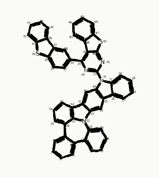 c1ccc2c(c1)-c1ccccc1-n1c3cc4c5ccccc5n(-c5nc(-c6ccc7sc8ccccc8c7c6)c6c(n5)sc5ccccc56)c4cc3c3cccc-2c31